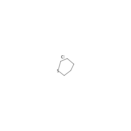 C1CCSCC1.[C]